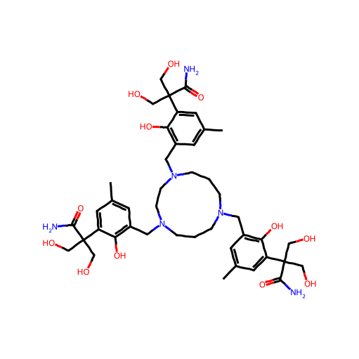 Cc1cc(CN2CCCN(Cc3cc(C)cc(C(CO)(CO)C(N)=O)c3O)CCN(Cc3cc(C)cc(C(CO)(CO)C(N)=O)c3O)CCC2)c(O)c(C(CO)(CO)C(N)=O)c1